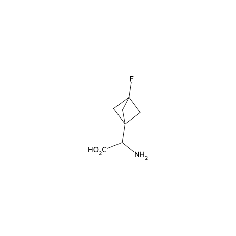 NC(C(=O)O)C12CC(F)(C1)C2